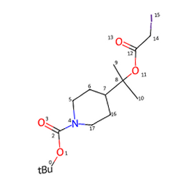 CC(C)(C)OC(=O)N1CCC(C(C)(C)OC(=O)CI)CC1